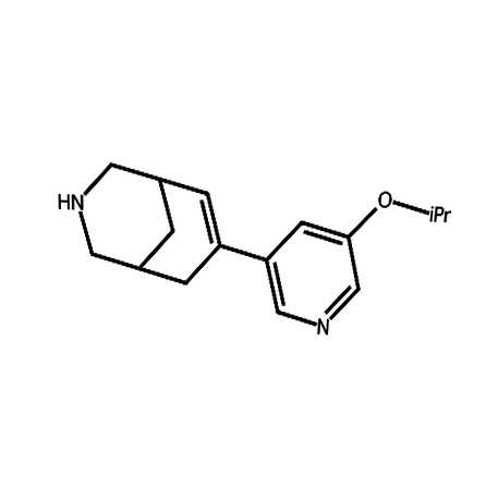 CC(C)Oc1cncc(C2=CC3CNCC(C2)C3)c1